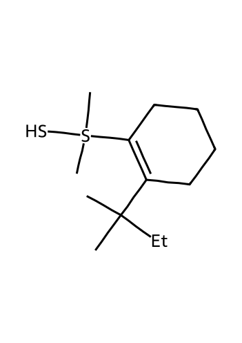 CCC(C)(C)C1=C(S(C)(C)S)CCCC1